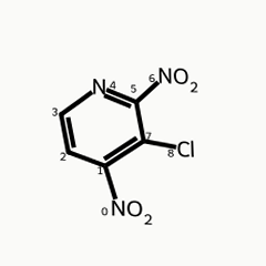 O=[N+]([O-])c1ccnc([N+](=O)[O-])c1Cl